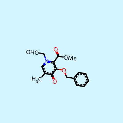 COC(=O)c1c(OCc2ccccc2)c(=O)c(C)cn1CC=O